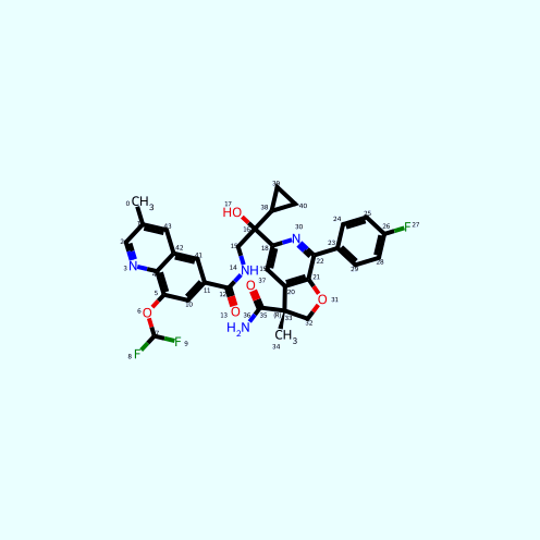 Cc1cnc2c(OC(F)F)cc(C(=O)NCC(O)(c3cc4c(c(-c5ccc(F)cc5)n3)OC[C@]4(C)C(N)=O)C3CC3)cc2c1